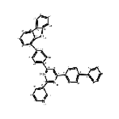 c1ccc(-c2ccc(-c3cc(-c4ccc(-c5cccc6c5oc5ccccc56)cc4)nc(-c4cccnc4)n3)cc2)cc1